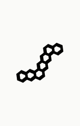 c1ccc2cc3c(ccc4cc5cc6c(ccc7ccccc76)cc5cc43)cc2c1